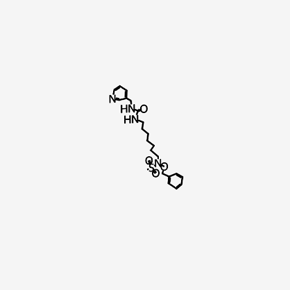 CS(=O)(=O)N(CCCCCCCNC(=O)NCc1cccnc1)OCc1ccccc1